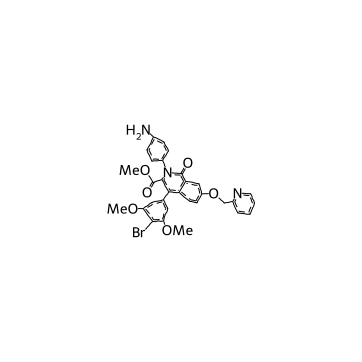 COC(=O)c1c(-c2cc(OC)c(Br)c(OC)c2)c2ccc(OCc3ccccn3)cc2c(=O)n1-c1ccc(N)cc1